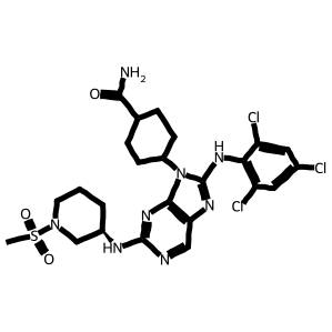 CS(=O)(=O)N1CCC[C@@H](Nc2ncc3nc(Nc4c(Cl)cc(Cl)cc4Cl)n(C4CCC(C(N)=O)CC4)c3n2)C1